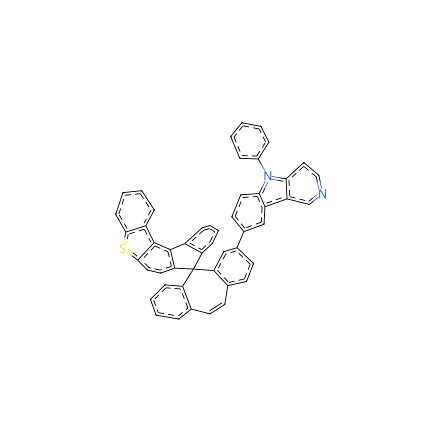 C1=Cc2ccc(-c3ccc4c(c3)c3cnccc3n4-c3ccccc3)cc2C2(c3ccccc31)c1ccccc1-c1c2ccc2sc3ccccc3c12